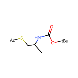 CC(=O)SCC(C)NC(=O)OC(C)(C)C